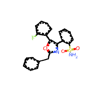 NS(=O)(=O)c1ccccc1-c1nc(Cc2ccccc2)oc1-c1ccccc1F